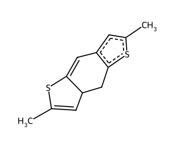 CC1=CC2Cc3sc(C)cc3C=C2S1